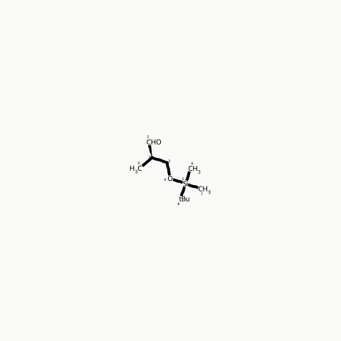 C[C@@H](C=O)CO[Si](C)(C)C(C)(C)C